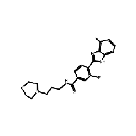 Cc1cccc2[nH]c(-c3ccc(C(=O)NCCCN4CCOCC4)cc3F)nc12